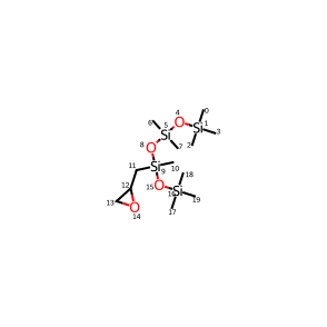 C[Si](C)(C)O[Si](C)(C)O[Si](C)(CC1CO1)O[Si](C)(C)C